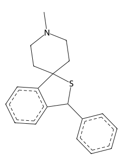 CN1CCC2(CC1)SC(c1ccccc1)c1ccccc12